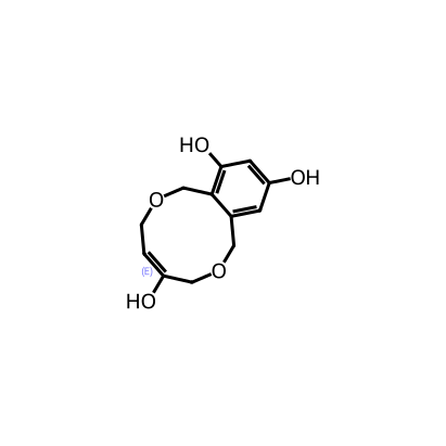 O/C1=C/COCc2c(O)cc(O)cc2COC1